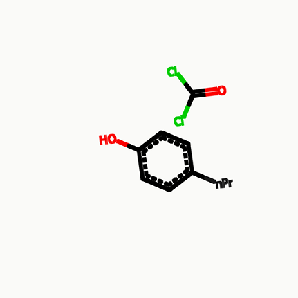 CCCc1ccc(O)cc1.O=C(Cl)Cl